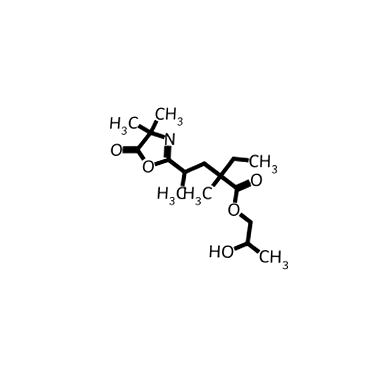 CCC(C)(CC(C)C1=NC(C)(C)C(=O)O1)C(=O)OCC(C)O